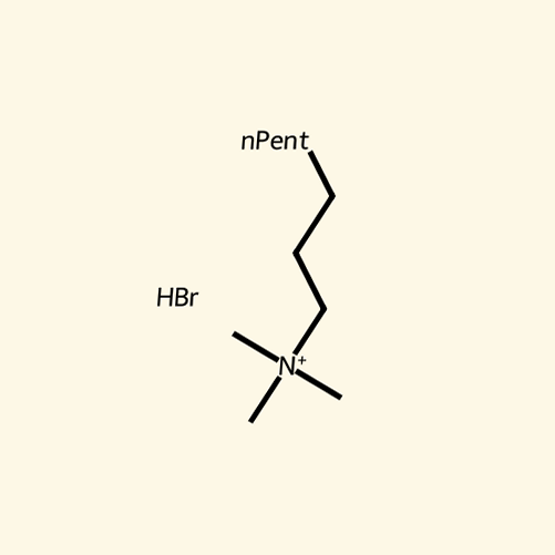 Br.CCCCCCCC[N+](C)(C)C